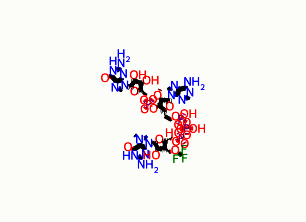 CO[C@@H]1[C@H](OP(=O)([O-])OC[C@H]2O[C@@H](n3cnc4c(=O)[nH]c(N)nc43)[C@H](O)[C@@H]2O)[C@@H](CCOP(=O)(O)OP(=O)(O)OP(=O)(O)OC[C@H]2O[C@@H](n3c[n+](C)c4c(=O)[nH]c(N)nc43)[C@H](O)[C@@H]2COC(F)(F)F)O[C@H]1n1cnc2c(N)ncnc21